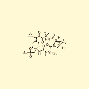 CC(C)(C)[C@H](NC(=O)NC1(CS(=O)(=O)C(C)(C)C)CCCCC1)C(=O)N1C[C@H]2[C@@H]([C@H]1C(=O)NC1(C(=O)C(=O)NC3CC3)CC1)C2(C)C